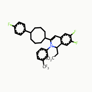 O=C(O)CC1c2cc(F)c(F)cc2C=C(C2CCCC(c3ccc(F)cc3)CCC2)N1c1cccc(C(F)(F)F)c1